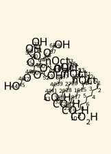 CCCCCCCC/C=C\CCCCCCCC(=O)O.CCCCCCCC/C=C\CCCCCCCC(=O)O.CCCCCCCC/C=C\CCCCCCCC(=O)O.CCCCCCCC/C=C\CCCCCCCC(=O)O.OCCOCC(OCCO)C(OCCO)C(OCCO)C(COCCO)OCCO